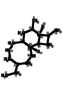 C[SiH2]N1[SiH2]N[SiH2]N2[SiH2]N(C)[Si@@H]3N([SiH3])[SiH2]N3[Si@@H]2N[SiH2]1